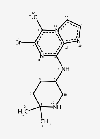 CC1(C)CCC(Nc2nc(Br)c(C(F)(F)F)n3ccnc23)CN1